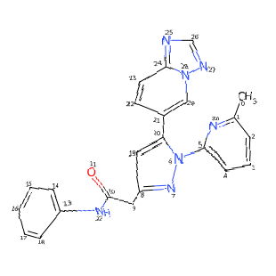 Cc1cccc(-n2nc(CC(=O)Nc3ccccc3)cc2-c2ccc3ncnn3c2)n1